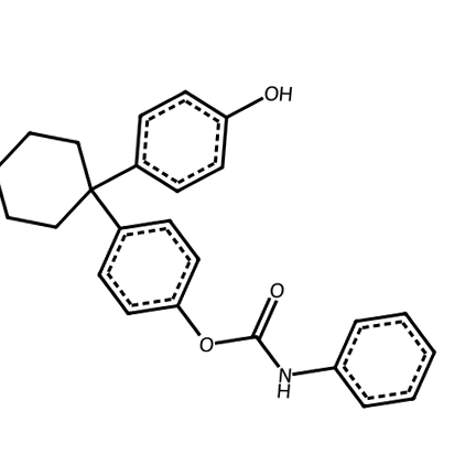 O=C(Nc1ccccc1)Oc1ccc(C2(c3ccc(O)cc3)CCCCC2)cc1